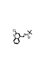 CC(C)(C)[S@+]([O-])N=Cc1cc(Cl)nc2ccccc12